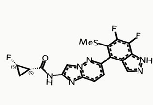 CSc1c(F)c(F)c2[nH]ncc2c1-c1ccc2nc(NC(=O)[C@@H]3C[C@@H]3F)cn2n1